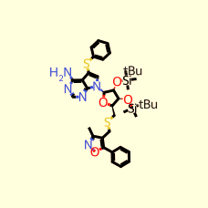 Cc1noc(-c2ccccc2)c1CSC[C@H]1O[C@@H](n2cc(Sc3ccccc3)c3c(N)ncnc32)[C@H](O[Si](C)(C)C(C)(C)C)[C@@H]1O[Si](C)(C)C(C)(C)C